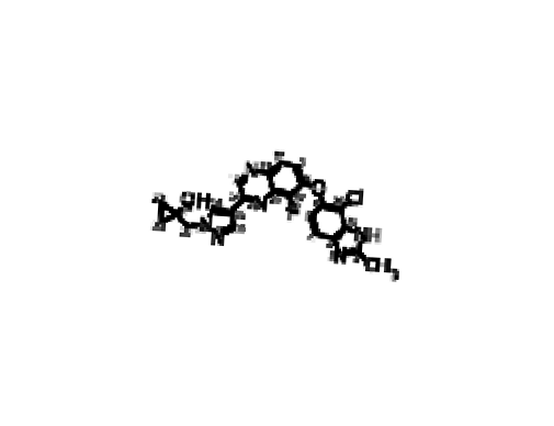 Cc1nc2ccc(Oc3ccc4ncc(-c5cnn(CC6(O)CC6)c5)nc4c3F)c(Cl)c2[nH]1